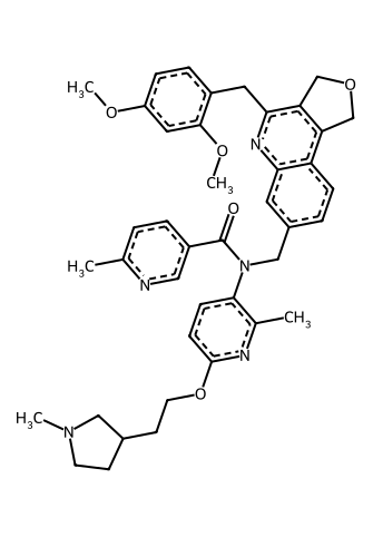 COc1ccc(Cc2nc3cc(CN(C(=O)c4ccc(C)nc4)c4ccc(OCCC5CCN(C)C5)nc4C)ccc3c3c2COC3)c(OC)c1